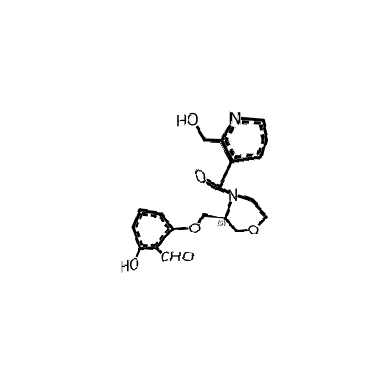 O=Cc1c(O)cccc1OC[C@@H]1COCCN1C(=O)c1cccnc1CO